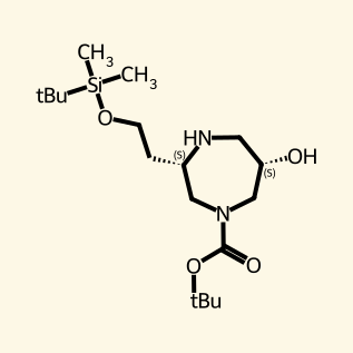 CC(C)(C)OC(=O)N1C[C@@H](O)CN[C@@H](CCO[Si](C)(C)C(C)(C)C)C1